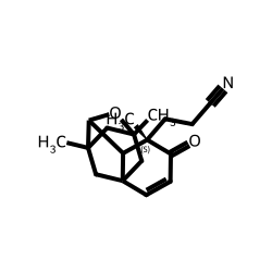 CC12CC3(C)CC4(C=CC(=O)[C@@](C)(CCC#N)C4C3O1)C2